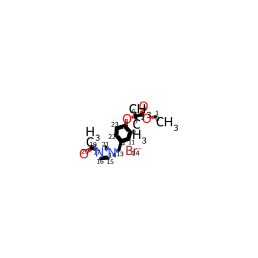 CCOC(=O)C(C)(C)Oc1ccc(Cn2cc[n+](C(C)=O)c2)cc1.[Br-]